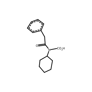 O=C(O)N([C]1CCCCC1)C(=O)Cc1ccccc1